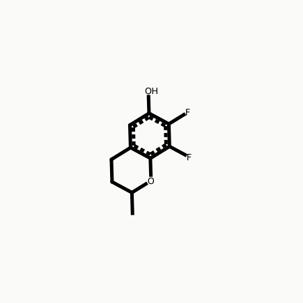 CC1CCc2cc(O)c(F)c(F)c2O1